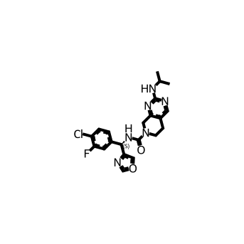 CC(C)Nc1ncc2c(n1)CN(C(=O)N[C@@H](c1ccc(Cl)c(F)c1)c1cocn1)CC2